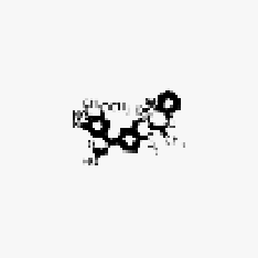 COc1cc([C@H](CC(=O)O)c2ccc(C)c(CN3CC(C)Oc4ccccc4S3(O)O)c2)cc2nnn(C)c12